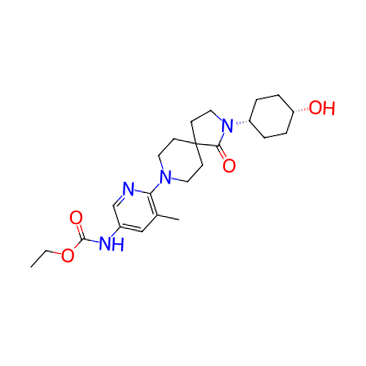 CCOC(=O)Nc1cnc(N2CCC3(CC2)CCN([C@H]2CC[C@@H](O)CC2)C3=O)c(C)c1